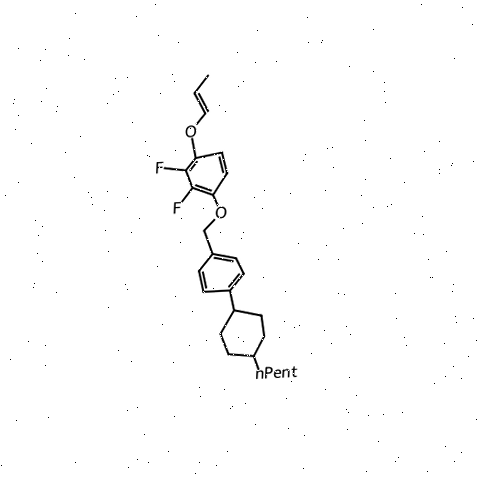 C/C=C/Oc1ccc(OCc2ccc(C3CCC(CCCCC)CC3)cc2)c(F)c1F